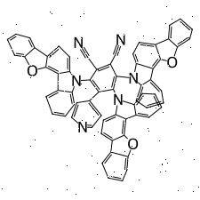 N#Cc1c(C#N)c(-n2c3ccccc3c3c4oc5ccccc5c4ccc32)c(-n2c3ccccc3c3c4oc5ccccc5c4ccc32)c(-c2ccncc2)c1-n1c2ccccc2c2c3oc4ccccc4c3ccc21